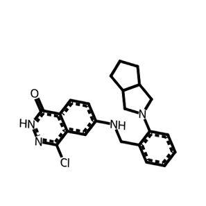 O=c1[nH]nc(Cl)c2cc(NCc3ccccc3N3CC4CCCC4C3)ccc12